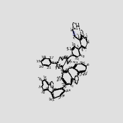 C/C=C\c1ccccc1-c1ccc(-c2nc(-c3ccccc3)nc(-c3cc(-c4cccc5c4oc4ccccc45)cc4oc5ccccc5c34)n2)cc1